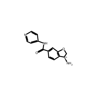 N[C@@H]1COc2cc(C(=O)Nc3ccncc3)ccc21